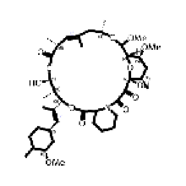 COC1C[C@@H](C)C/C(C)=C/[C@@H](C)C(=O)C[C@H](O)[C@@H](C)[C@@H](/C(C)=C/[C@@H]2CCC(C)[C@H](OC)C2)OC(=O)C2CCCCN2C(=O)C(=O)[C@]2(O)O[C@H]1[C@@H](OC)C[C@H]2C